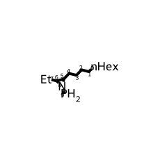 CCCCCCCCCCC1C(CC)N1P